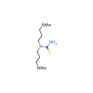 CNCCCN(CCCNC)C(N)=S